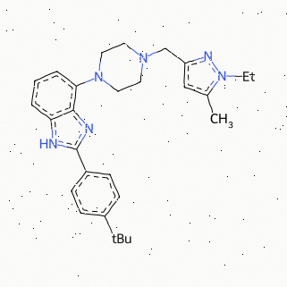 CCn1nc(CN2CCN(c3cccc4[nH]c(-c5ccc(C(C)(C)C)cc5)nc34)CC2)cc1C